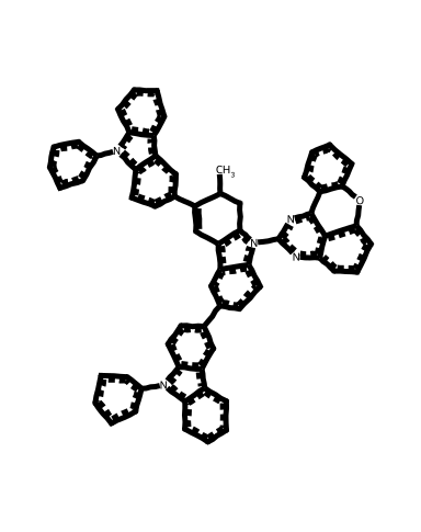 CC1Cc2c(c3cc(-c4ccc5c(c4)c4ccccc4n5-c4ccccc4)ccc3n2-c2nc3c4c(cccc4n2)Oc2ccccc2-3)C=C1c1ccc2c(c1)c1ccccc1n2-c1ccccc1